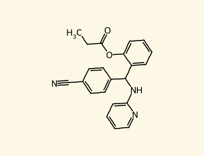 CCC(=O)Oc1ccccc1C(Nc1ccccn1)c1ccc(C#N)cc1